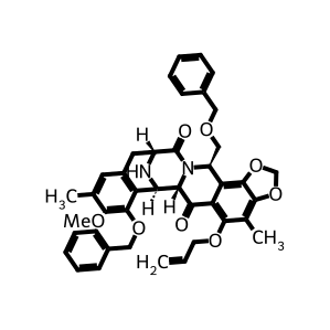 C=CCOc1c(C)c2c(c3c1C(=O)[C@@H]1[C@@H]4N[C@H](Cc5cc(C)c(OC)c(OCc6ccccc6)c54)C(=O)N1[C@H]3COCc1ccccc1)OCO2